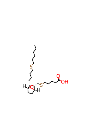 CCCCCCSCCCC[C@@H]1[C@H](CSCCCCC(=O)O)[C@@H]2CC[C@H]1O2